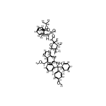 COCc1nc(NC(c2ccccc2)(c2ccccc2)c2ccc(OC)cc2)nc2c1ncn2[C@@H]1O[C@](F)(COP(=O)(N[C@@H](C)C(=O)OC(C)C)Oc2ccccc2)[C@@H](C)[C@@]1(C)F